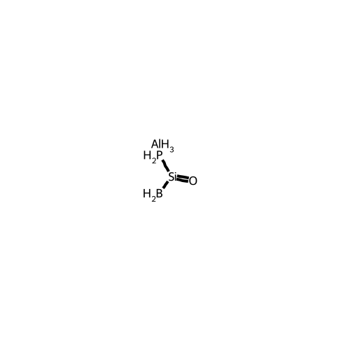 B[Si](=O)P.[AlH3]